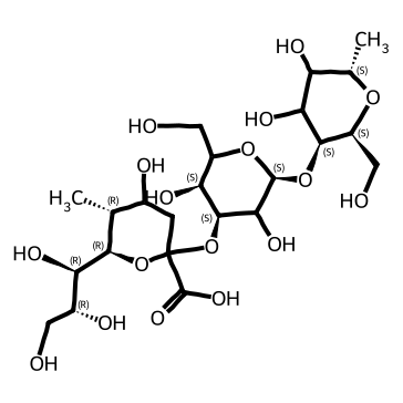 C[C@@H]1O[C@@H](CO)[C@@H](O[C@@H]2OC(CO)[C@H](O)[C@H](OC3(C(=O)O)CC(O)[C@@H](C)[C@H]([C@H](O)[C@H](O)CO)O3)C2O)C(O)C1O